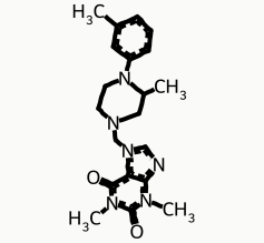 Cc1cccc(N2CCN(Cn3cnc4c3c(=O)n(C)c(=O)n4C)CC2C)c1